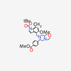 COC(=O)c1ccc(C2CN3CCOCC3CN2Cc2c(OC)cc(C)c3c2ccn3C(=O)OC(C)(C)C)cc1